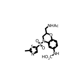 CC(=O)NCC1CN(S(=O)(=O)c2cnc(C)s2)c2cc(NC(=O)O)ccc2O1